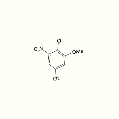 COc1cc(C#N)cc([N+](=O)[O-])c1Cl